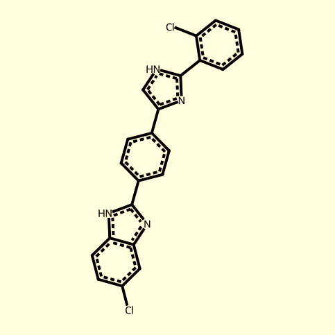 Clc1ccc2[nH]c(-c3ccc(-c4c[nH]c(-c5ccccc5Cl)n4)cc3)nc2c1